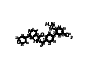 C[C@@H](NC(=O)c1ccnc(C2=CCOCC2)n1)c1ccc(-c2cc(C(F)(F)F)cnc2CN)cc1